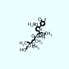 C=C/C(OCCO)=C(\C=C(/C)C(=O)NCC(O)(CNC)c1ccc(OC)c(-c2ccc(F)c(Cl)c2)n1)OC